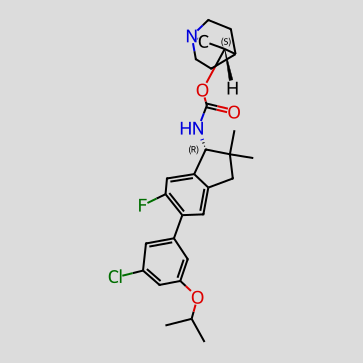 CC(C)Oc1cc(Cl)cc(-c2cc3c(cc2F)[C@H](NC(=O)O[C@@H]2CN4CCC2CC4)C(C)(C)C3)c1